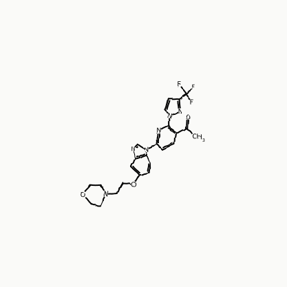 CC(=O)c1ccc(-n2cnc3cc(OCCN4CCOCC4)ccc32)nc1-n1ccc(C(F)(F)F)n1